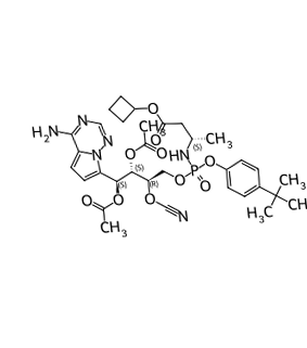 CC(=O)O[C@H]([C@@H](COP(=O)(N[C@@H](C)CC(=O)OC1CCC1)Oc1ccc(C(C)(C)C)cc1)OC#N)[C@@H](OC(C)=O)c1ccc2c(N)ncnn12